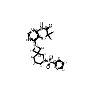 CC1(C)Oc2c(ncnc2N2CC3(CCCN(S(=O)(=O)c4cccs4)C3)C2)NC1=O